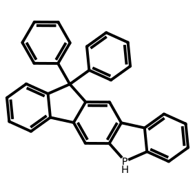 c1ccc(C2(c3ccccc3)c3ccccc3-c3cc4[pH]c5ccccc5c4cc32)cc1